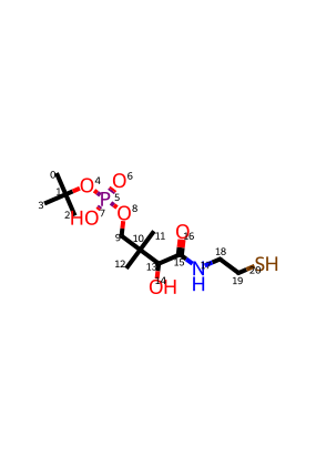 CC(C)(C)OP(=O)(O)OCC(C)(C)C(O)C(=O)NCCS